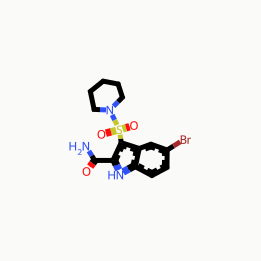 NC(=O)c1[nH]c2ccc(Br)cc2c1S(=O)(=O)N1CCCCC1